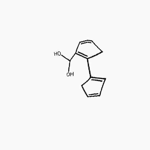 OC(O)C1=C(C2=CC=CC2)CC=C1